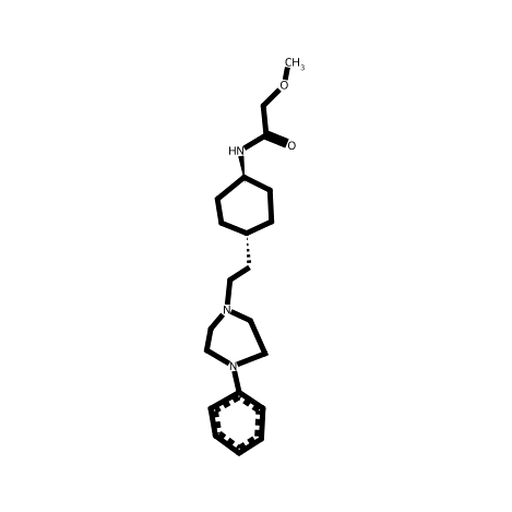 COCC(=O)N[C@H]1CC[C@H](CCN2CCN(c3ccccc3)CC2)CC1